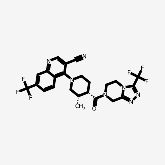 C[C@@H]1CN(c2c(C#N)cnc3cc(C(F)(F)F)ccc23)CC[C@@H]1C(=O)N1CCn2c(nnc2C(F)(F)F)C1